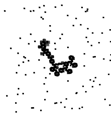 CCc1c2c(nc3ccc(OC(=O)c4ccc(CN(CCCCOc5cc(CN(Cc6ccccn6)Cc6ccccn6)cc(CN(Cc6ccccn6)Cc6ccccn6)c5)C(=O)c5ccccc5Cc5ccccc5)cc4)cc13)-c1cc3c(c(=O)n1C2)COC(=O)[C@]3(O)CC